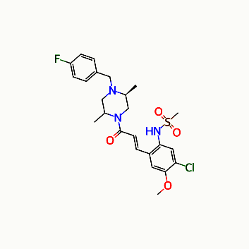 COc1cc(C=CC(=O)N2C[C@H](C)N(Cc3ccc(F)cc3)CC2C)c(NS(C)(=O)=O)cc1Cl